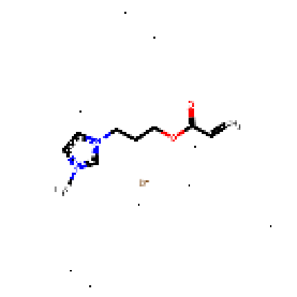 C=CC(=O)OCCC[n+]1ccn(C)c1.[Br-]